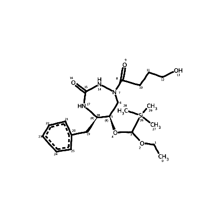 CCOC(O[C@@H]1CN(C(=O)CCCO)NC(=O)N[C@@H]1Cc1ccccc1)[Si](C)(C)C